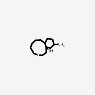 CC1CCC2CCCCCCCCC2(O)C1